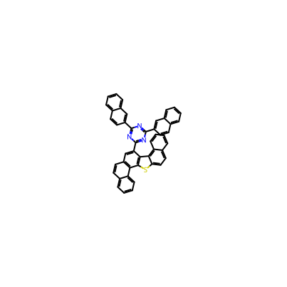 c1ccc2cc(-c3nc(-c4ccc5ccccc5c4)nc(-c4cc5ccc6ccccc6c5c5sc6ccc7ccccc7c6c45)n3)ccc2c1